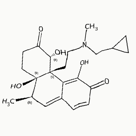 C[C@@H]1C=C2C=CC(=O)C(O)=C2[C@@]2(CCN(C)CC3CC3)[C@@H](O)C(=O)CC[C@@]12O